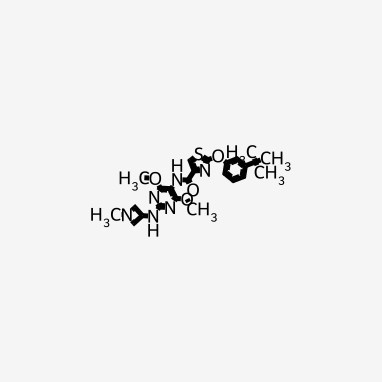 COc1nc(NC2CN(C)C2)nc(OC)c1NC(=O)c1csc(Oc2cccc(C(C)(C)C)c2)n1